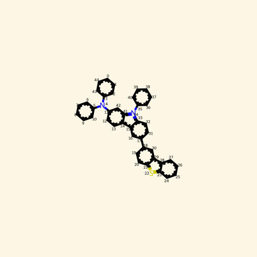 c1ccc(N(c2ccccc2)c2ccc3c4cc(-c5ccc6sc7ccccc7c6c5)ccc4n(-c4ccccc4)c3c2)cc1